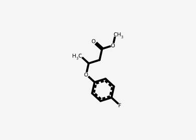 COC(=O)CC(C)Oc1ccc(F)cc1